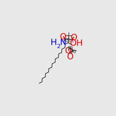 CCCCCCCCCCCCCCCCCC(C[C@H]1OC(=O)[C@@H]1C)[C@](C(N)=O)(C(=O)O)C(C)(C)C